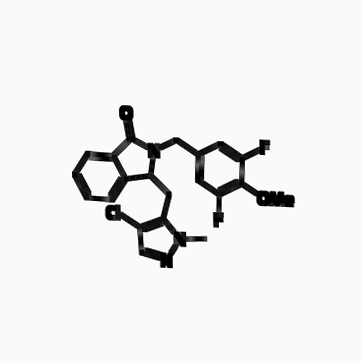 COc1c(F)cc(CN2C(=O)c3ccccc3C2Cc2c(Cl)cnn2C)cc1F